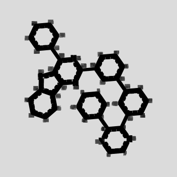 c1ccc(-c2nccnc2-c2cccc(-c3cccc(-c4nc(-c5ccccc5)c5sc6ccccc6c5n4)c3)c2)cc1